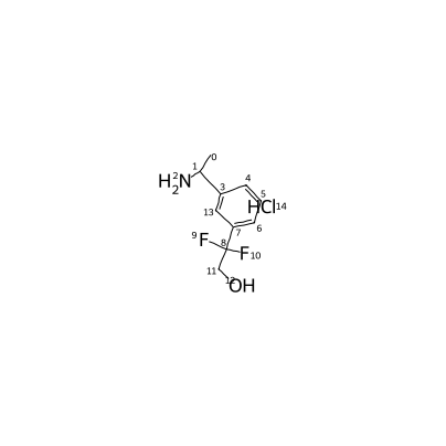 CC(N)c1cccc(C(F)(F)CO)c1.Cl